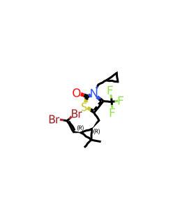 CC1(C)[C@H](Cc2sc(=O)n(CC3CC3)c2C(F)(F)F)[C@@H]1C=C(Br)Br